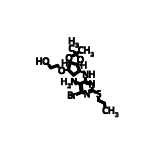 CCCSc1nc(Br)c(N)c(N[C@@H]2C[C@H](OCCO)[C@H]3OC(C)(C)O[C@H]32)n1